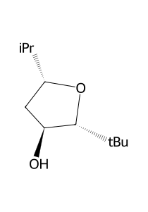 CC(C)[C@H]1C[C@H](O)[C@@H](C(C)(C)C)O1